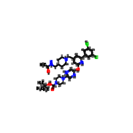 CC(=O)NCC1CCN(Cc2cc(Oc3cnc(N4CCN(C(=O)OC(C)(C)C)CC4)cn3)nc(-c3cc(Cl)cc(Cl)c3)c2)CC1